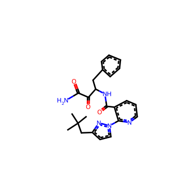 CC(C)(C)Cc1ccn(-c2ncccc2C(=O)NC(Cc2ccccc2)C(=O)C(N)=O)n1